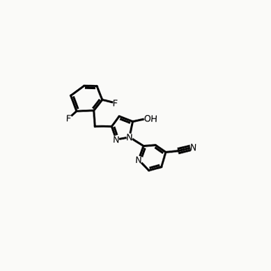 N#Cc1ccnc(-n2nc(Cc3c(F)cccc3F)cc2O)c1